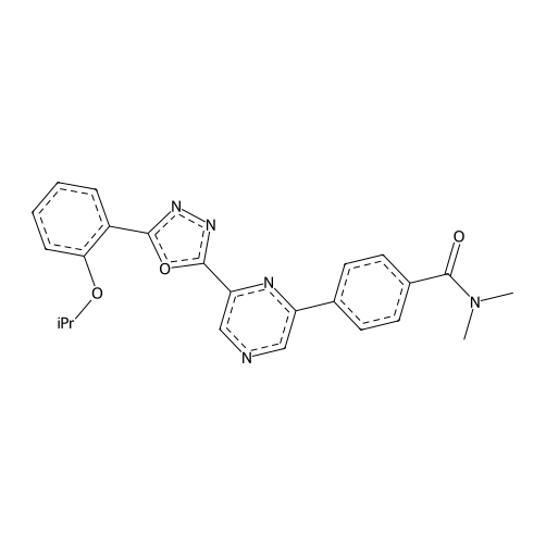 CC(C)Oc1ccccc1-c1nnc(-c2cncc(-c3ccc(C(=O)N(C)C)cc3)n2)o1